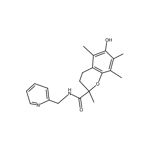 Cc1c(C)c2c(c(C)c1O)CCC(C)(C(=O)NCc1ccccn1)O2